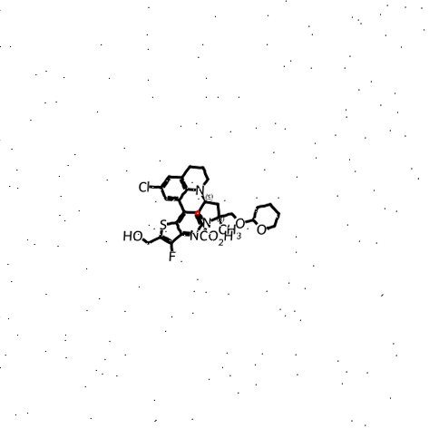 C[C@]1(COC2CCCCO2)C[C@H](N2CCCc3cc(Cl)cc(-c4ccnc5c(F)c(CO)sc45)c32)CN1C(=O)O